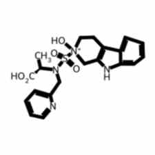 C[C@H](C(=O)O)N(Cc1ccccn1)S(=O)(=O)[N+]1(O)CCc2c([nH]c3ccccc23)C1